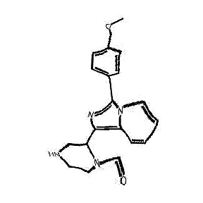 COc1ccc(-c2nc(C3CNCCN3C=O)c3ccccn23)cc1